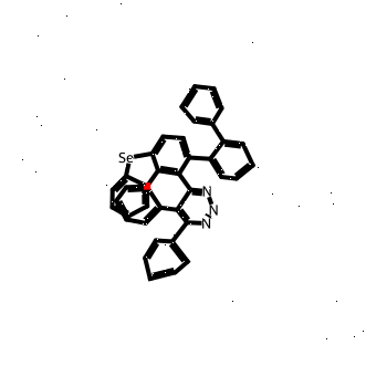 c1ccc(-c2ccccc2-c2ccc3[se]c4ccccc4c3c2-c2nnnc(-c3ccccc3)c2-c2ccccc2)cc1